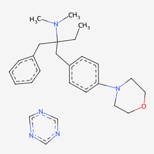 CCC(Cc1ccccc1)(Cc1ccc(N2CCOCC2)cc1)N(C)C.c1ncncn1